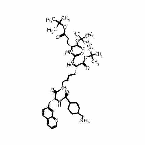 CC(C)(C)OC(=O)CC[C@H](NC(=O)N[C@@H](CCCCNC(=O)[C@@H](Cc1ccc2cccnc2c1)NC(=O)C1CCC(CN)CC1)C(=O)OC(C)(C)C)C(=O)OC(C)(C)C